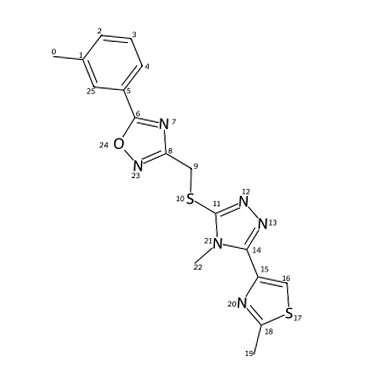 Cc1cccc(-c2nc(CSc3nnc(-c4csc(C)n4)n3C)no2)c1